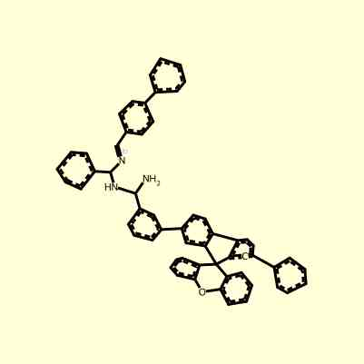 NC(NC(/N=C/c1ccc(-c2ccccc2)cc1)c1ccccc1)c1cccc(-c2ccc3c(c2)C2(c4ccccc4Oc4ccccc42)c2cc(-c4ccccc4)ccc2-3)c1